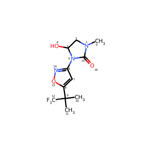 CN1CC(O)N(c2cc(C(C)(C)C(F)(F)F)on2)C1=O